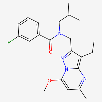 CCc1c(CN(CC(C)C)C(=O)c2cccc(F)c2)nn2c(OC)cc(C)nc12